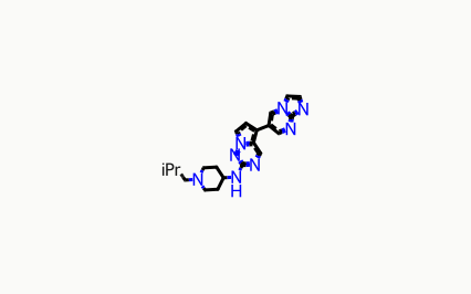 CC(C)CN1CCC(Nc2ncc3c(-c4cnc5nccn5c4)ccn3n2)CC1